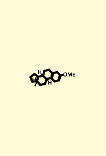 COC1=CCC2=C(CC[C@@H]3[C@@H]2CC[C@]2(C)CCC[C@@H]32)C1